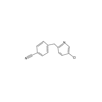 N#Cc1ccc(Cc2ccc(Cl)cn2)cc1